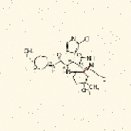 CC1(C)CCC2(CC1)N[C@@H](C(=O)N[C@@H]1CC[C@@H](CO)OC1)[C@H](c1ccnc(Cl)c1)[C@]21C(=O)Nc2nc(Cl)ccc21